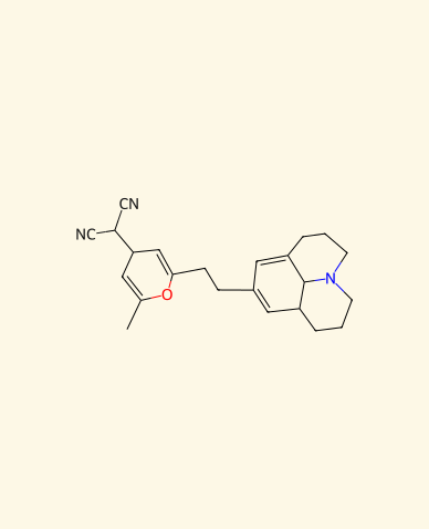 CC1=CC(C(C#N)C#N)C=C(CCC2=CC3CCCN4CCCC(=C2)C34)O1